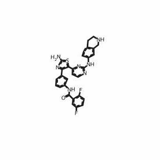 Nc1nc(-c2cccc(NC(=O)c3cc(F)ccc3F)c2)c(-c2ccnc(Nc3ccc4c(c3)CNCC4)n2)s1